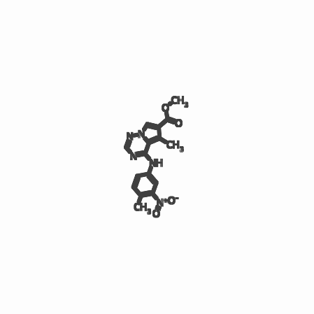 COC(=O)c1cn2ncnc(Nc3ccc(C)c([N+](=O)[O-])c3)c2c1C